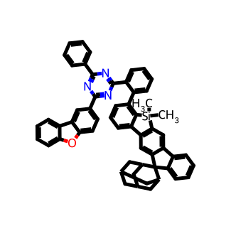 C[Si]1(C)c2cc3c(cc2-c2cccc(-c4ccccc4-c4nc(-c5ccccc5)nc(-c5ccc6oc7ccccc7c6c5)n4)c21)C1(c2ccccc2-3)C2CC3CC(C2)CC1C3